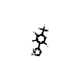 Fc1c(C(F)(F)F)cc(Cl)c(-c2cc[nH]n2)c1F